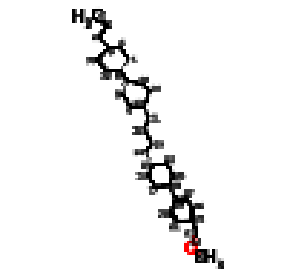 C=CC[C@H]1CC[C@H]([C@H]2CC[C@H](CCCC[C@H]3CC[C@H](c4ccc(COC)cc4)CC3)CC2)CC1